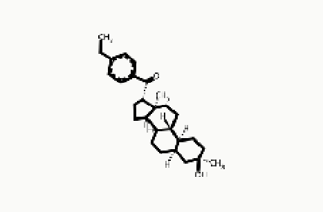 CCc1ccc(C(=O)[C@H]2CC[C@H]3[C@@H]4CC[C@@H]5C[C@](C)(O)CC[C@@H]5[C@H]4CC[C@]23C)cc1